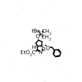 CCOC(=O)C1=NO[C@]2(COCc3ccccc3)C[C@@H](O[Si](C)(C)C(C)(C)C)C[C@H]12